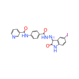 O=C1Nc2ccc(I)cc2/C1=N/NC(=O)c1ccc(NC(=O)c2cccnc2)cc1